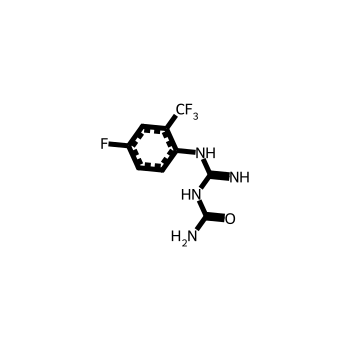 N=C(NC(N)=O)Nc1ccc(F)cc1C(F)(F)F